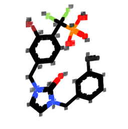 COc1cccc(Cn2ccn(Cc3ccc(C(F)(F)P(=O)(O)O)c(Br)c3)c2=O)c1